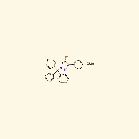 COc1ccc(-c2nn(C(c3ccccc3)(c3ccccc3)c3ccccc3)cc2Br)cc1